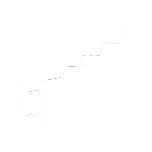 Cc1ccc(C)c(CCCCCCCCO)c1